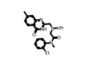 CCCN(CC(=O)N(C)c1ccccc1CC)Cc1nc2cc(C)ccc2c(=O)[nH]1